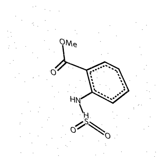 COC(=O)c1ccccc1N[SH](=O)=O